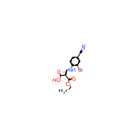 CCOC(=O)/C(=C\Nc1ccc(C#N)cc1Br)C(=O)O